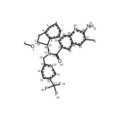 CO[C@@H]1Cc2ccccc2[C@H]1N(Cc1ccc(C(F)(F)F)cn1)C(=O)c1ccc2nc(N)c(C)cc2c1